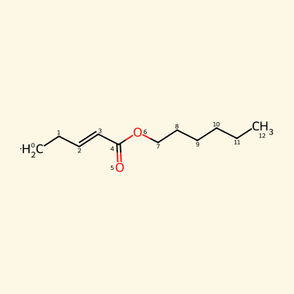 [CH2]CC=CC(=O)OCCCCCC